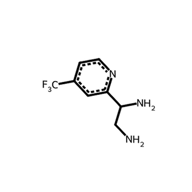 NCC(N)c1cc(C(F)(F)F)ccn1